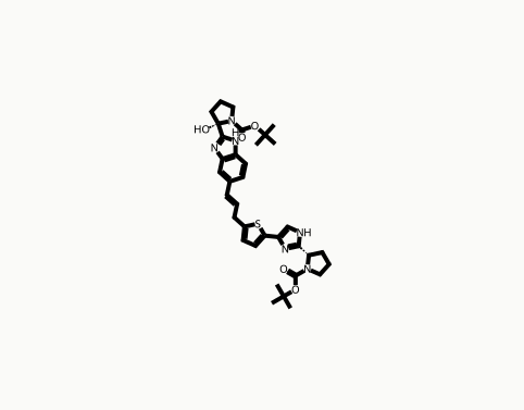 CC(C)(C)OC(=O)N1CCC[C@H]1c1nc(-c2ccc(C/C=C/c3ccc4[nH]c([C@@]5(O)CCCN5C(=O)OC(C)(C)C)nc4c3)s2)c[nH]1